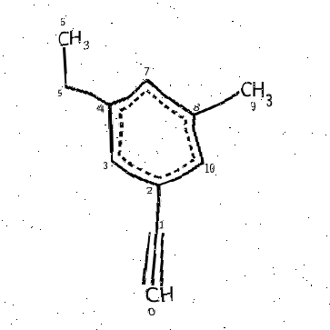 C#Cc1[c]c(CC)cc(C)c1